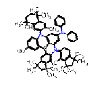 Cc1cc2c(cc1N1c3ccc(C(C)(C)C)cc3B3c4cc5c(cc4N(c4ccc6c(c4C)C(C)(C)CC6(C)C)c4cc(N(c6ccccc6)c6ccccc6)cc1c43)C(C)(C)CC5(C)C)C(C)(C)CCC2(C)C